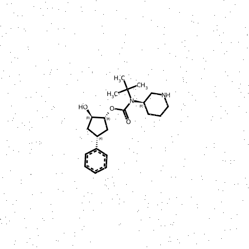 CC(C)(C)N(C(=O)O[C@@H]1C[C@H](c2ccccc2)C[C@H]1O)[C@@H]1CCCNC1